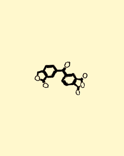 O=C(c1ccc2c(c1)C(=O)OC2)c1ccc2c(c1)C(=O)OC2=O